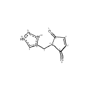 O=C1C=CC(=O)N1Cc1c[nH]nn1